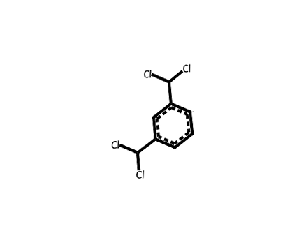 ClC(Cl)c1[c]ccc(C(Cl)Cl)c1